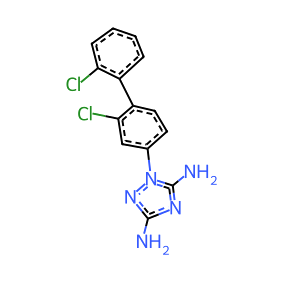 Nc1nc(N)n(-c2ccc(-c3ccccc3Cl)c(Cl)c2)n1